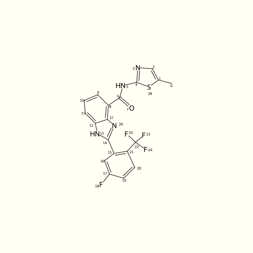 Cc1cnc(NC(=O)c2cccc3[nH]c(-c4cc(F)ccc4C(F)(F)F)nc23)s1